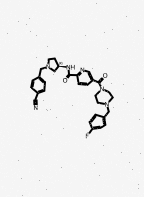 N#Cc1ccc(CN2CC[C@@H](NC(=O)c3ccc(C(=O)N4CCN(Cc5ccc(F)cc5)CC4)cn3)C2)cc1